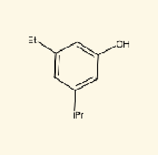 CCc1cc(O)cc(C(C)C)c1